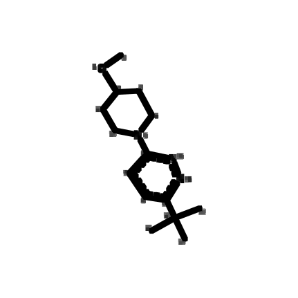 COC1CCN(c2ccc(C(C)(C)C)nn2)CC1